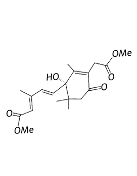 COC(=O)C=C(C)C=C[C@@]1(O)C(C)=C(CC(=O)OC)C(=O)CC1(C)C